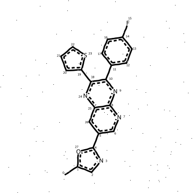 Cc1cnc(-c2cnc3nc(-c4ccc(F)cc4)c(-c4cccs4)nc3c2)o1